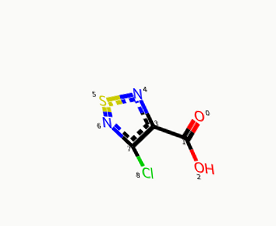 O=C(O)c1nsnc1Cl